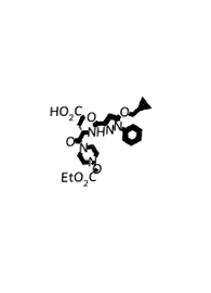 CCOC(=O)ON1CCN(C(=O)[C@H](CCC(=O)O)NC(=O)c2cc(OCC3CC3)n(-c3ccccc3)n2)CC1